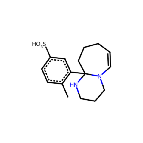 Cc1ccc(S(=O)(=O)O)cc1C12CCCC=CN1CCCN2